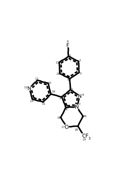 Fc1ccc(-c2nn3c(c2-c2ccncc2)COC(C(F)(F)F)C3)cc1